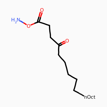 CCCCCCCCCCCCCC(=O)CCC(=O)ON